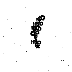 CC(C)(C)OC(=O)NCCOc1cccc(-n2ncc3c2COC[C@H]3NC(=O)c2ncn3c2CCCC3)c1Cl